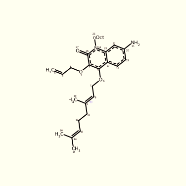 C=CCOc1c(OC/C=C(\C)CCC=C(C)C)c2ccc(N)cc2n(CCCCCCCC)c1=O